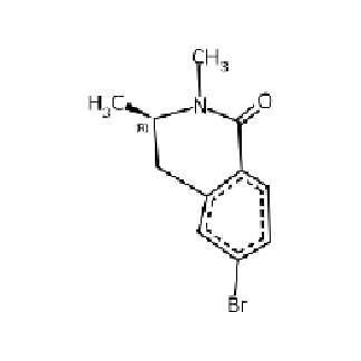 C[C@@H]1Cc2cc(Br)ccc2C(=O)N1C